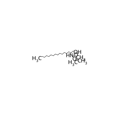 CCCCCCCCCCCCCCC(CO)NC(=O)OC(C)(C)C